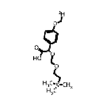 [2H]COc1ccc([C@@H](OCOCC[Si](C)(C)C)C(=O)O)cc1